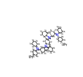 CC(C)c1ccc(N(C2=CCC3C4=CC=CC5C6=C(C=C7c8cccc9c%10ccc(N(c%11ccccc%11)c%11ccc(C(C)C)cc%11)cc%10n(c89)C7C6)N(C3C2)C45)c2ccccc2)cc1